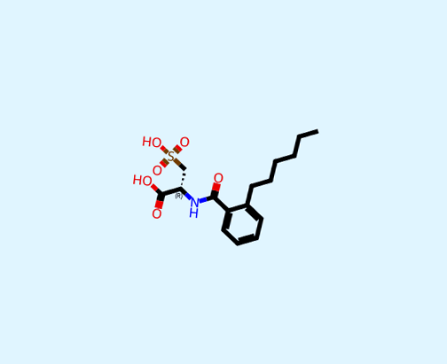 CCCCCCc1ccccc1C(=O)N[C@@H](CS(=O)(=O)O)C(=O)O